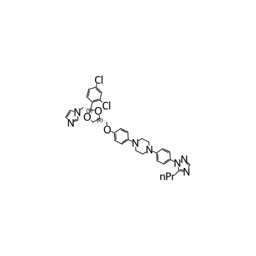 CCCc1ncnn1-c1ccc(N2CCN(c3ccc(OC[C@@H]4CO[C@@](Cn5ccnc5)(c5ccc(Cl)cc5Cl)O4)cc3)CC2)cc1